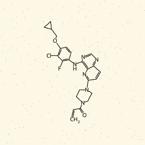 C=CC(=O)N1CCN(c2ccc3ncnc(Nc4ccc(OCC5CC5)c(Cl)c4F)c3n2)CC1